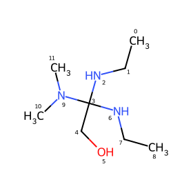 CCNC(CO)(NCC)N(C)C